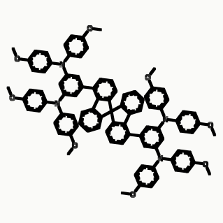 COc1ccc(N(c2ccc(OC)cc2)c2cc(-c3cccc4c3-c3ccccc3C43c4ccccc4-c4c(-c5cc(N(c6ccc(OC)cc6)c6ccc(OC)cc6)cc(N(c6ccc(OC)cc6)c6ccc(OC)cc6)c5)cccc43)cc(N(c3ccc(OC)cc3)c3ccc(OC)cc3)c2)cc1